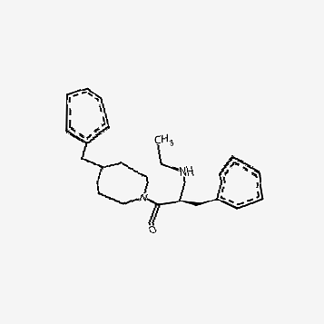 CCN[C@@H](Cc1ccccc1)C(=O)N1CCC(Cc2ccccc2)CC1